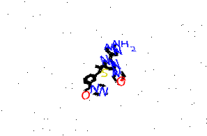 Cc1c(-c2cccc(C(C=O)N3CCN(C)CC3)c2)sc2c(N3CCOCC3)nc(-c3cnc(N)nc3)nc12